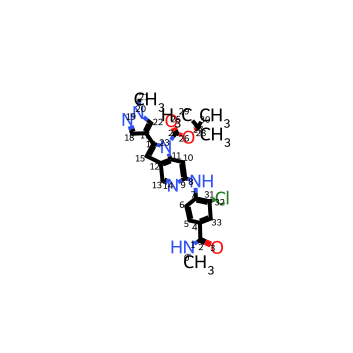 CNC(=O)c1ccc(Nc2cc3c(cn2)cc(-c2cnn(C)c2)n3C(=O)OC(C)(C)C)c(Cl)c1